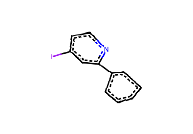 Ic1ccnc(-c2ccccc2)c1